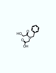 O=C(O)CN(Cc1ccccc1)C(=O)CO